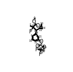 COC(=O)C(C)(F)C(c1cccc(OS(=O)(=O)C(F)(F)F)c1)C1CC1